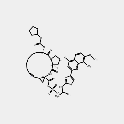 COc1ccc2c(O[C@@H]3C[C@H]4C(=O)N[C@]5(C(=O)NS(C)(=O)=O)CC5/C=C\CCCCC[C@H](NC(=O)OC5CCCC5)C(=O)N4C3)cc(-c3csc(NC(C)C)n3)nc2c1C